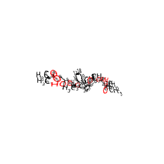 C=C(C)C(=O)OCC(O)COCC(C)Oc1ccccc1C(C)(C)c1ccccc1OC(C)COCC(O)COC(=O)C(=C)C